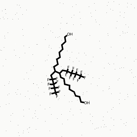 OCCCCCCCCCC(CC(F)(F)C(F)(F)C(F)(F)C(F)(F)F)C(CCCCCCCCCO)CC(F)(F)C(F)(F)C(F)(F)C(F)(F)F